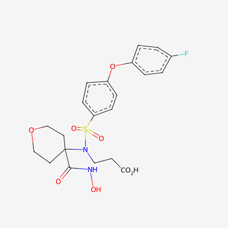 O=C(O)CCN(C1(C(=O)NO)CCOCC1)S(=O)(=O)c1ccc(Oc2ccc(F)cc2)cc1